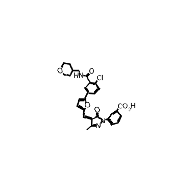 CC1=NN(c2cccc(C(=O)O)c2)C(=O)C1=Cc1ccc(-c2ccc(Cl)c(C(=O)NCC3CCOCC3)c2)o1